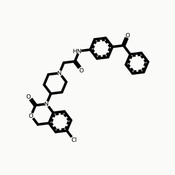 O=C(CN1CCC(N2C(=O)OCc3cc(Cl)ccc32)CC1)Nc1ccc(C(=O)c2ccccc2)cc1